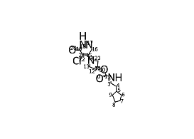 O=C(NCCC1CCCC1)O[C@@H]1CCN(c2cn[nH]c(=O)c2Cl)C1